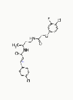 C=C(CCNC(=O)COc1ccc(Cl)c(F)c1)NC(=O)/C=C/c1ccc(Cl)cc1